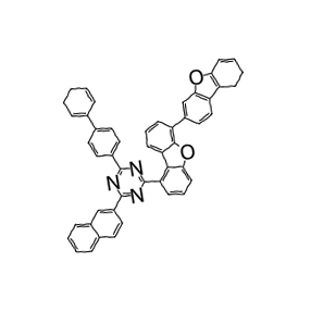 C1=CC(c2ccc(-c3nc(-c4ccc5ccccc5c4)nc(-c4cccc5oc6c(-c7ccc8c9c(oc8c7)C=CCC9)cccc6c45)n3)cc2)=CCC1